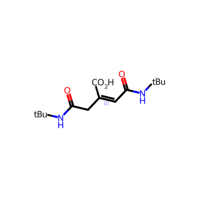 CC(C)(C)NC(=O)/C=C(/CC(=O)NC(C)(C)C)C(=O)O